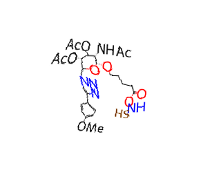 COc1ccc(-c2cn(CC3O[C@@H](OCCCCC(=O)ONS)[C@@H](NC(C)=O)C(OC(C)=O)[C@H]3OC(C)=O)nn2)cc1